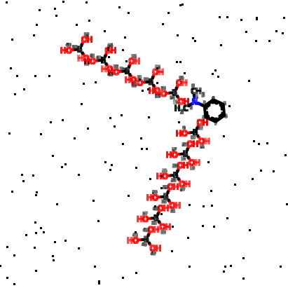 CN(C)c1ccccc1.OB(O)O.OB(O)O.OB(O)O.OB(O)O.OB(O)O.OB(O)O.OB(O)O.OB(O)O.OB(O)O.OB(O)O.OB(O)O